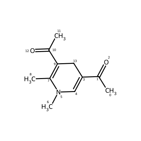 CC(=O)C1=CN(C)C(C)=C(C(C)=O)C1